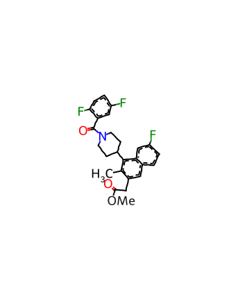 COC(=O)Cc1cc2ccc(F)cc2c(C2CCN(C(=O)c3cc(F)ccc3F)CC2)c1C